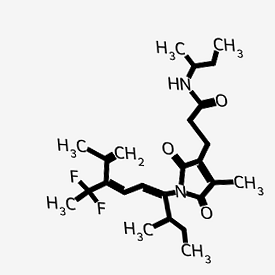 C=C(C)/C(=C\C=C(/C(C)CC)N1C(=O)C(C)=C(CCC(=O)NC(C)CC)C1=O)C(C)(F)F